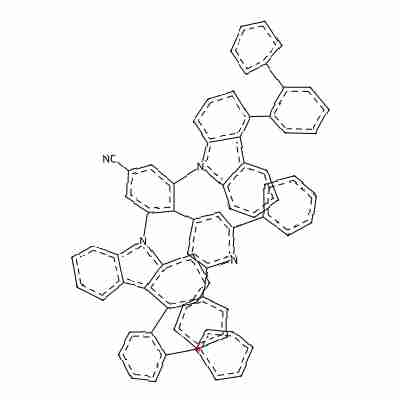 N#Cc1cc(-n2c3ccccc3c3c(-c4ccccc4-c4ccccc4)cccc32)c(-c2cc(-c3ccccc3)nc(-c3ccccc3)c2)c(-n2c3ccccc3c3c(-c4ccccc4-c4ccccc4)cccc32)c1